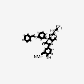 CN/C=C1/C=C(c2nc3cnc(NCC(F)(F)F)nc3n(-c3cccc(OCc4ccccc4)c3)c2=O)C=CC1=N